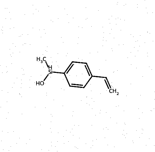 C=Cc1ccc([SiH](C)O)cc1